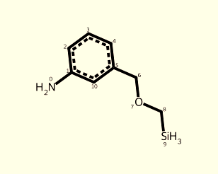 Nc1cccc(COC[SiH3])c1